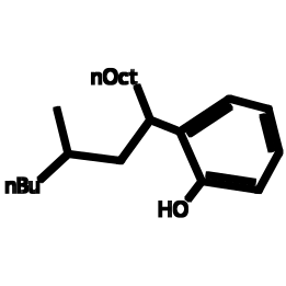 CCCCCCCCC(CC(C)CCCC)c1ccccc1O